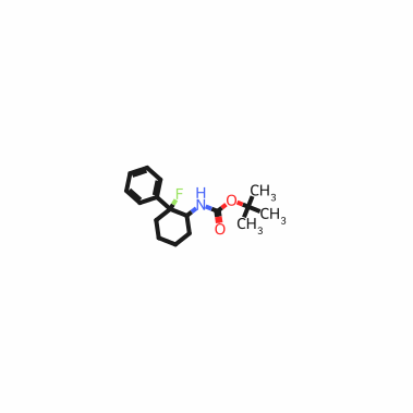 CC(C)(C)OC(=O)NC1CCCCC1(F)c1ccccc1